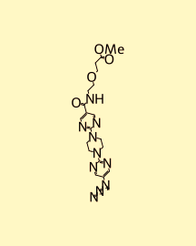 COC(=O)CCOCCNC(=O)c1cnc(N2CCN(c3ncc(N=[N+]=[N-])cn3)CC2)nc1